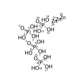 O=P(O)(O)O.O=P(O)(O)O.O=P(O)(O)O.O=P(O)(O)O.[Zn].[Zn].[Zn]